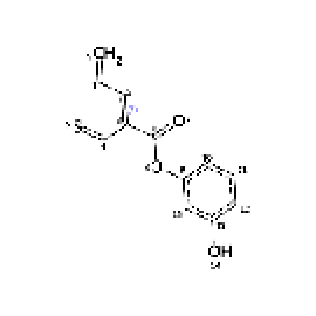 C=C/C=C(\C=S)C(=O)Oc1cccc(O)c1